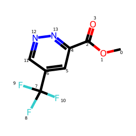 COC(=O)c1cc(C(F)(F)F)cnn1